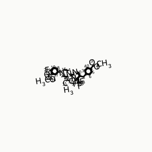 COC(=O)c1ccc(Cc2cnc(N3CCN(c4ccc(F)c(S(C)(=O)=O)c4)C[C@H]3C(C)C)nc2C(F)(F)F)cc1